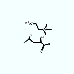 C[N+](C)(C)CCO.Cl.O=C(O)CC(O)C(=O)O